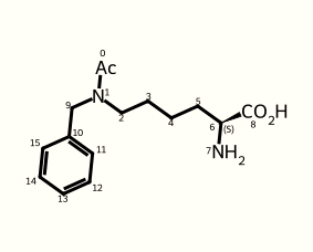 CC(=O)N(CCCC[C@H](N)C(=O)O)Cc1ccccc1